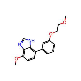 COCCOc1cccc(-c2ccc(OC)c3nc[nH]c23)c1